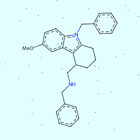 COc1ccc2c(c1)c1c(n2Cc2ccccc2)CCCC1CNCc1ccccc1